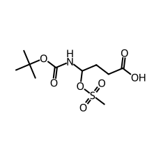 CC(C)(C)OC(=O)NC(CCC(=O)O)OS(C)(=O)=O